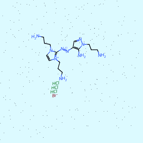 Cl.Cl.Cl.NCCCn1cc[n+](CCCN)c1/N=N/c1cnn(CCCN)c1N.[Br-]